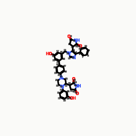 O=C1CC(c2c(-c3ccccc3)ncn2Cc2cc(O)cc(-c3ccc(N4CCN(c5cccc(O)c5)C(C5CC(=O)NC5=O)C4)cc3)c2)C(=O)N1